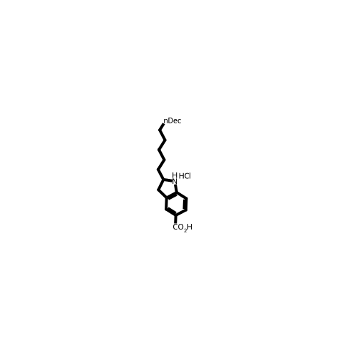 CCCCCCCCCCCCCCCC1Cc2cc(C(=O)O)ccc2N1.Cl